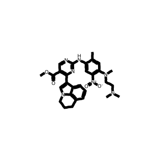 COC(=O)c1cnc(Nc2cc([N+](=O)[O-])c(N(C)CCN(C)C)cc2C)nc1-c1cn2c3c(cccc13)CCC2